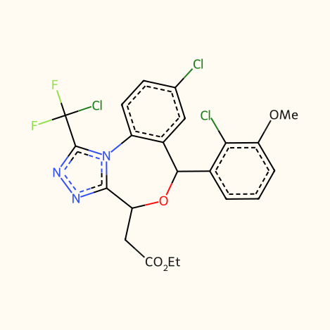 CCOC(=O)CC1OC(c2cccc(OC)c2Cl)c2cc(Cl)ccc2-n2c1nnc2C(F)(F)Cl